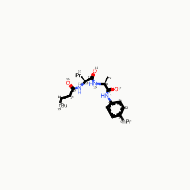 CCCc1ccc(NC(=O)[C@H](C)NC(=O)[C@@H](NC(=O)CCC(C)(C)C)C(C)C)cc1